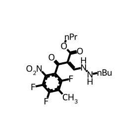 CCCCNNC=C(C(=O)OCCC)C(=O)c1c(F)c(C)c(F)c(F)c1[N+](=O)[O-]